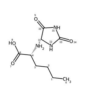 CCCC[C@@H](N)C(=O)O.O=C1CNC(=O)N1